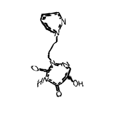 O=c1[nH]c(=O)n(CCn2cccn2)nc1O